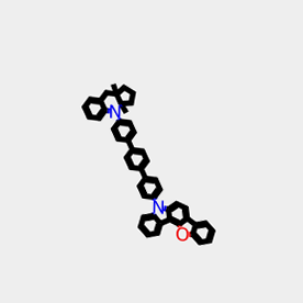 CC12CCCC1(C)N(c1ccc(-c3ccc(-c4ccc(-n5c6ccccc6c6c7oc8ccccc8c7ccc65)cc4)cc3)cc1)c1ccccc1C2